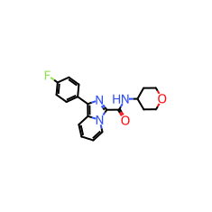 O=C(NC1CCOCC1)c1nc(-c2ccc(F)cc2)c2ccccn12